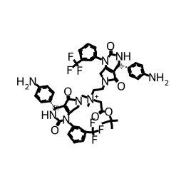 CC(C)(C)OC(=O)C[N+](C)(CCN1CC2=C(C1=O)[C@@H](c1ccc(N)cc1)NC(=O)N2c1cccc(C(F)(F)F)c1)CN1CC2=C(C1=O)[C@@H](c1ccc(N)cc1)NC(=O)N2c1cccc(C(F)(F)F)c1